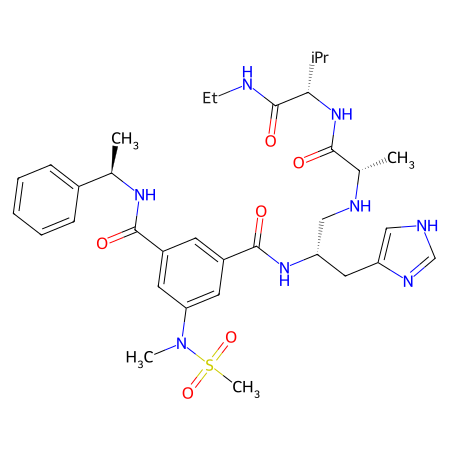 CCNC(=O)[C@@H](NC(=O)[C@H](C)NC[C@H](Cc1c[nH]cn1)NC(=O)c1cc(C(=O)N[C@H](C)c2ccccc2)cc(N(C)S(C)(=O)=O)c1)C(C)C